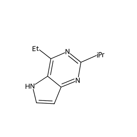 CCc1nc(C(C)C)nc2cc[nH]c12